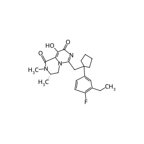 CCc1cc(C2(Cc3nc(=O)c(O)c4n3C[C@H](C)N(C)C4=O)CCCC2)ccc1F